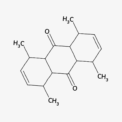 CC1C=CC(C)C2C(=O)C3C(C)C=CC(C)C3C(=O)C12